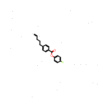 C=CCCCc1ccc(C(=O)Oc2ccc(F)cc2)cc1